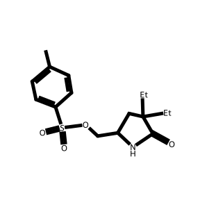 CCC1(CC)CC(COS(=O)(=O)c2ccc(C)cc2)NC1=O